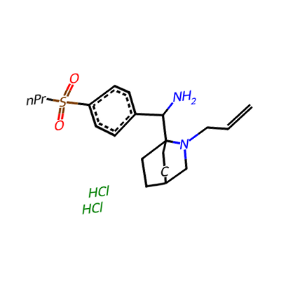 C=CCN1CC2CCC1(C(N)c1ccc(S(=O)(=O)CCC)cc1)CC2.Cl.Cl